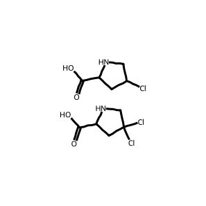 O=C(O)C1CC(Cl)(Cl)CN1.O=C(O)C1CC(Cl)CN1